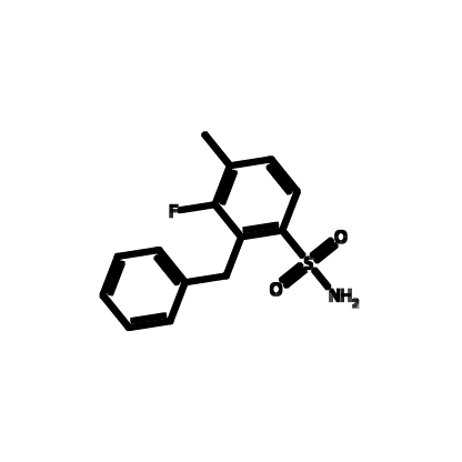 Cc1ccc(S(N)(=O)=O)c(Cc2ccccc2)c1F